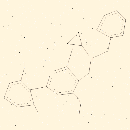 CCc1cccc(CC)c1-c1cc(OC(C)C)c(CN(Cc2ccccc2)C2CC2)c(C)n1